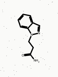 NC(=O)CCn1ncc2ccccc21